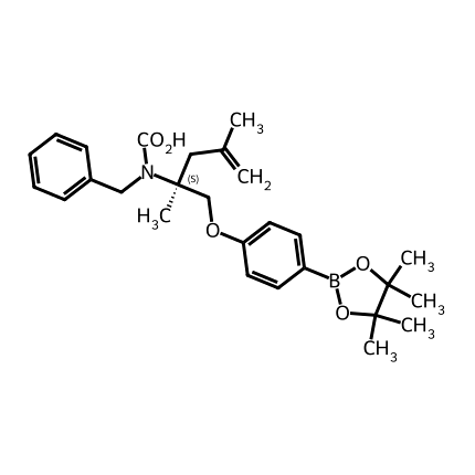 C=C(C)C[C@@](C)(COc1ccc(B2OC(C)(C)C(C)(C)O2)cc1)N(Cc1ccccc1)C(=O)O